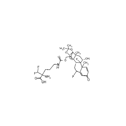 CC1(C)OC2CC3C4CC(F)C5=CC(=O)C=CC5(C)C4(F)C(O)CC3(C)C2(C(=O)COC(=O)NCCCC(N)(C(=O)O)C(F)F)O1